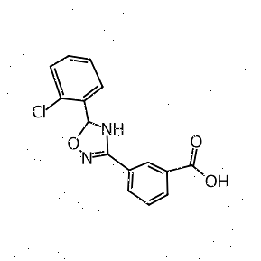 O=C(O)c1cccc(C2=NOC(c3ccccc3Cl)N2)c1